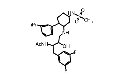 CC(=O)NC(Cc1cc(F)cc(F)c1)C(O)CNC1CC(NS(C)(=O)=O)CCC1c1cccc(C(C)C)c1